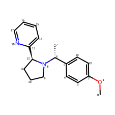 COc1ccc([C@@H](C)N2CCC[C@H]2c2ccccn2)cc1